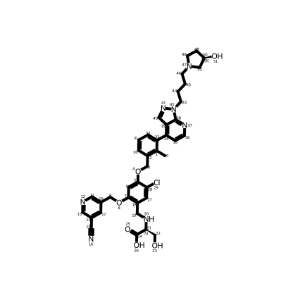 Cc1c(COc2cc(OCc3cncc(C#N)c3)c(CN[C@@H](CO)C(=O)O)cc2Cl)cccc1-c1ccnc2c1cnn2CCCCN1CC[C@@H](O)C1